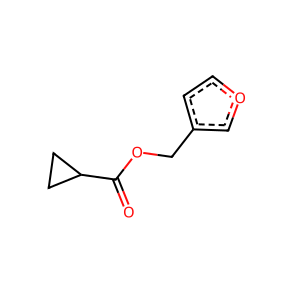 O=C(OCc1ccoc1)C1CC1